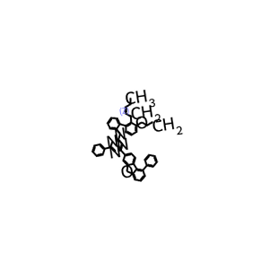 C=CCOc1ccc2c(c1C(=C)/C=C\CC)c1ccccc1n2-c1nc(-c2ccccc2)nc(-c2ccc3c(c2)oc2cccc(-c4ccccc4)c23)n1